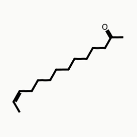 C/C=C\CCCCCCCCCC(C)=O